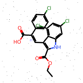 CCOC(=O)c1[nH]c2cc(Cl)cc(Cl)c2c1/C=C(/C(=O)O)c1ccc(Cl)cc1